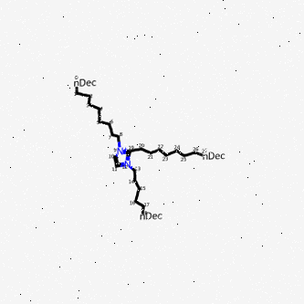 CCCCCCCCCCCCCCCCCC[n+]1ccn(CCCCCCCCCCCCCCC)c1CCCCCCCCCCCCCCCCC